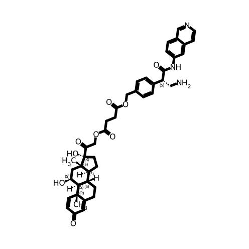 C[C@]12C=CC(=O)C=C1CC[C@@H]1[C@@H]2[C@@H](O)C[C@@]2(C)[C@H]1CC[C@]2(O)C(=O)COC(=O)CCC(=O)OCc1ccc([C@@H](CN)C(=O)Nc2ccc3cnccc3c2)cc1